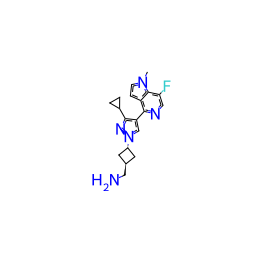 Cn1ccc2c(-c3cn([C@H]4C[C@H](CN)C4)nc3C3CC3)ncc(F)c21